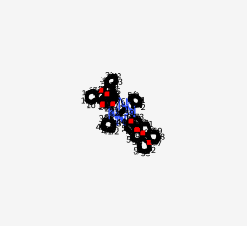 c1ccc2c(c1)N(c1ccc3cc4ccccc4cc3c1)C(=C1N(c3ccc4cc5ccccc5cc4c3)c3ccccc3N1c1ccc3cc4ccccc4cc3c1)N2c1ccc2cc3ccccc3cc2c1